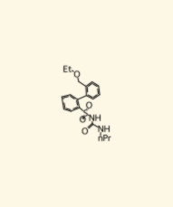 CCCNC(=O)NS(=O)(=O)c1ccccc1-c1ccccc1COCC